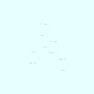 O=c1c(Oc2ccc(Br)cc2)c(N2CCC(O)(O)CC2)cnn1-c1ccc(Cl)cc1